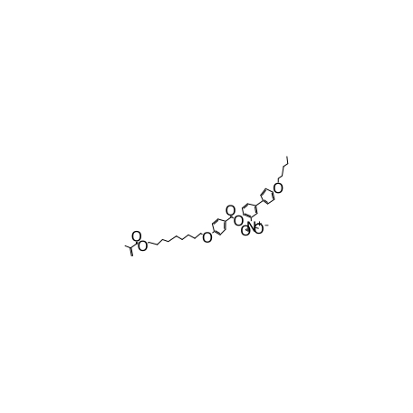 C=C(C)C(=O)OCCCCCCCCCOc1ccc(C(=O)Oc2ccc(-c3ccc(OCCCCC)cc3)cc2[N+](=O)[O-])cc1